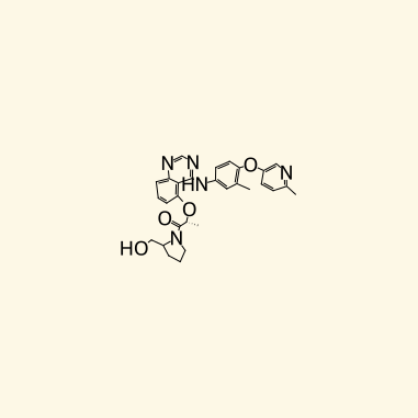 Cc1ccc(Oc2ccc(Nc3ncnc4cccc(O[C@H](C)C(=O)N5CCCC5CO)c34)cc2C)cn1